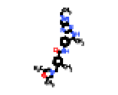 CCn1cc2ncc(N[C@@H](C)c3cccc(NC(=O)c4ccc(CN5C[C@@H](C)O[C@@H](C)C5)c(C)c4)c3)nc2n1